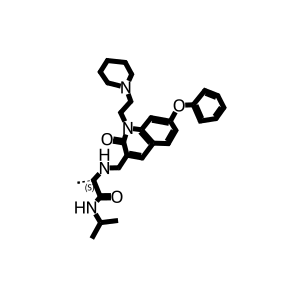 CC(C)NC(=O)[C@H](C)NCc1cc2ccc(Oc3ccccc3)cc2n(CCN2CCCCC2)c1=O